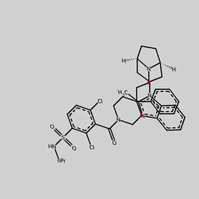 CCCNS(=O)(=O)c1ccc(Cl)c(C(=O)N2CCC(CCN3[C@@H]4CC[C@H]3CC(n3c(C)nc5ccccc53)C4)(c3ccccc3)CC2)c1Cl